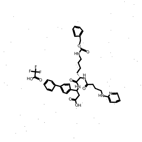 O=C(O)C(F)(F)F.O=C(O)CC(NC(=O)[C@H](CCCCNC(=O)OCc1ccccc1)NC(=O)CCCNc1ccccn1)c1ccc(-c2ccccc2)cc1